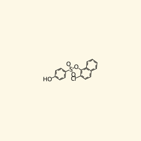 O=S(=O)(Oc1c(Cl)ccc2ccccc12)c1ccc(O)cc1